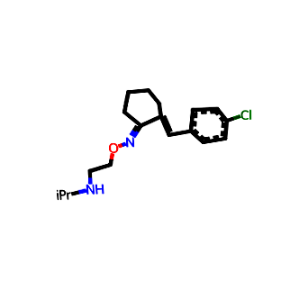 CC(C)NCCON=C1CCCCC1=Cc1ccc(Cl)cc1